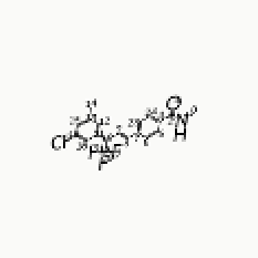 CNC(=O)c1ccc(/C=C/C(c2cc(C)cc(Cl)c2)C(F)(F)F)cc1